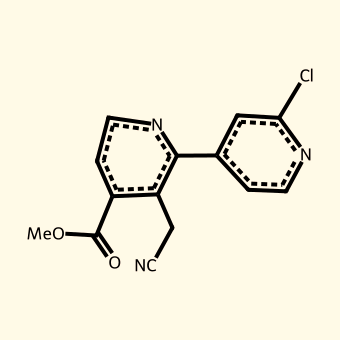 COC(=O)c1ccnc(-c2ccnc(Cl)c2)c1CC#N